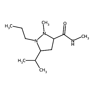 CCCN1C(C(C)C)CC(C(=O)NC)N1C